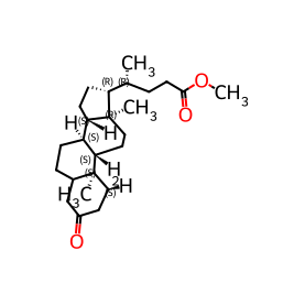 [2H][C@H]1CC(=O)CC2CC[C@H]3[C@@H]4CC[C@H]([C@H](C)CCC(=O)OC)[C@@]4(C)CC[C@@H]3[C@]21C